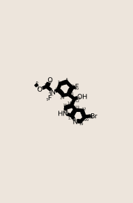 COC(=O)N(F)c1ccc(F)c(C(O)c2c[nH]c3ncc(Br)cc23)c1